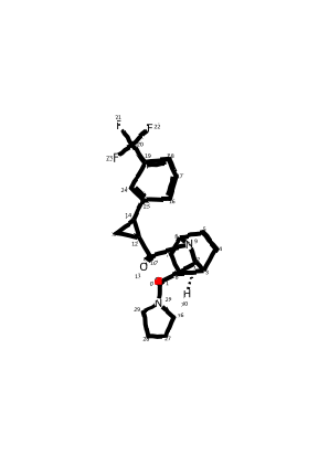 O=C([C@@H]1C2CCC(CC2)N1C(=O)C1CC1c1cccc(C(F)(F)F)c1)N1CCCC1